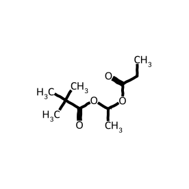 CCC(=O)O[C](C)OC(=O)C(C)(C)C